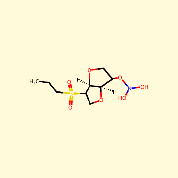 CCCS(=O)(=O)[C@@H]1CO[C@H]2[C@@H]1OC[C@H]2ON(O)O